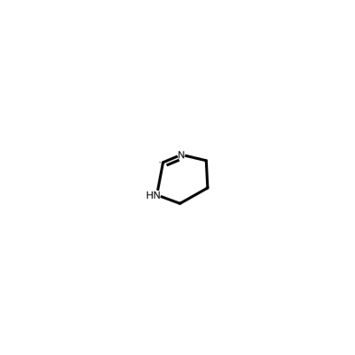 [C]1=NCCCN1